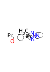 Cc1nc(N2C3CCC2CN(C(C)C)C3)ncc1[C@H]1CC[C@@H](C(=O)C(C)C)CC1